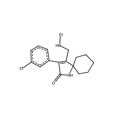 CCNCC1=C(c2cccc(Cl)c2)C(=O)NC12CCCCC2